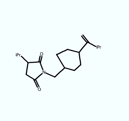 C=C(C(C)C)C1CCC(CN2C(=O)CC(C(C)C)C2=O)CC1